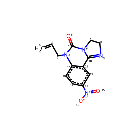 C=CCN1C(=O)N2CCN=C2c2cc([N+](=O)[O-])ccc21